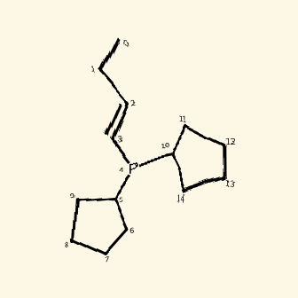 CCC=CP(C1CCCC1)C1CCCC1